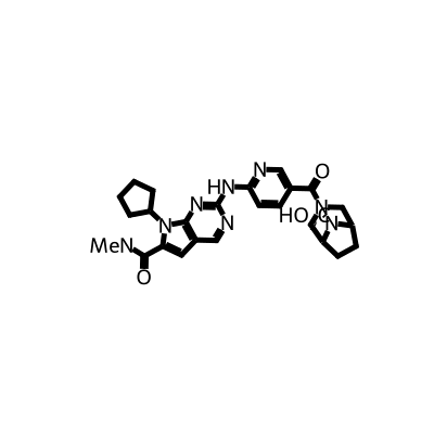 CNC(=O)c1cc2cnc(Nc3ccc(C(=O)N4CC5CCC(C4)N5C(=O)O)cn3)nc2n1C1CCCC1